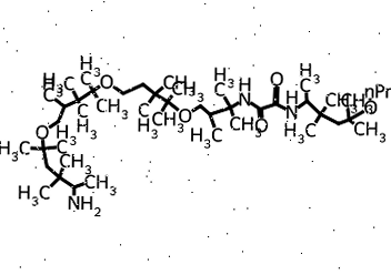 CCCOC(C)(C)CC(C)(C)C(C)NC(=O)C(=O)NC(C)(C)C(C)COC(C)(C)C(C)(C)CCOC(C)(C)C(C)(C)C(C)COC(C)(C)CC(C)(C)C(C)N